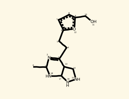 CC1N=C(CCc2ccc(CO)o2)C2CNNC2N1